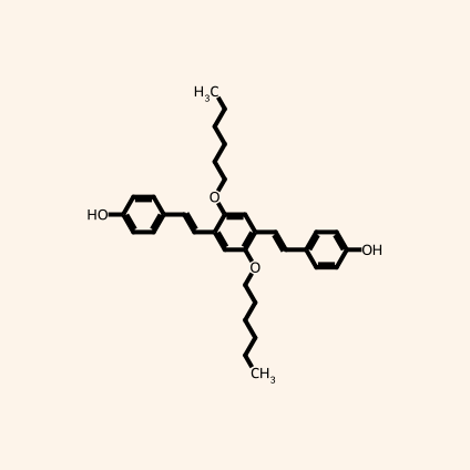 CCCCCCOc1cc(C=Cc2ccc(O)cc2)c(OCCCCCC)cc1C=Cc1ccc(O)cc1